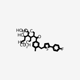 Cc1ccc(C(=O)C(CC(=O)O)C(CC(=O)O)C(CC(=O)O)C(O)CCC(=O)O)cc1Cc1ccc(-c2ccc(F)cc2)s1